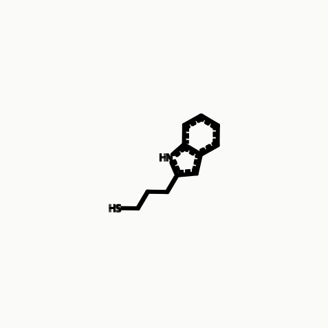 SCCCc1cc2ccccc2[nH]1